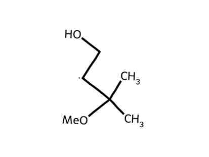 COC(C)(C)[CH]CO